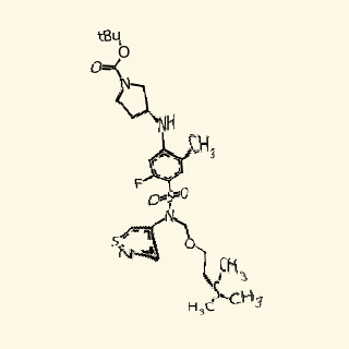 Cc1cc(S(=O)(=O)N(COCCS(C)(C)C)c2cnsc2)c(F)cc1N[C@H]1CCN(C(=O)OC(C)(C)C)C1